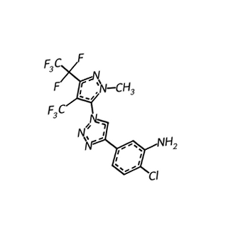 Cn1nc(C(F)(F)C(F)(F)F)c(C(F)(F)F)c1-n1cc(-c2ccc(Cl)c(N)c2)nn1